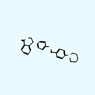 O=C(Nc1ccc([C@H]2CNC(=O)c3ccccc32)cc1)c1ccc(N2CCCCC2)cc1